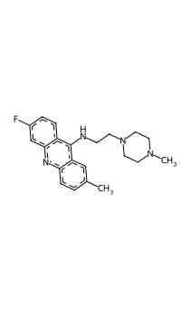 Cc1ccc2nc3cc(F)ccc3c(NCCN3CCN(C)CC3)c2c1